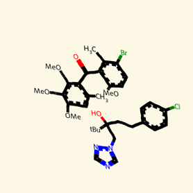 CC(C)(C)C(O)(CCc1ccc(Cl)cc1)Cn1cncn1.COc1cc(C)c(C(=O)c2c(OC)ccc(Br)c2C)c(OC)c1OC